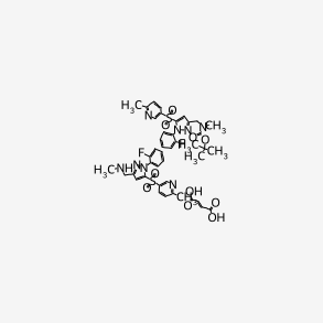 CNCc1cc(S(=O)(=O)c2ccc(C)nc2)n(-c2ccccc2F)n1.Cc1ccc(S(=O)(=O)c2cc(CN(C)C(=O)OC(C)(C)C)nn2-c2ccccc2F)cn1.O=C(O)/C=C/C(=O)O